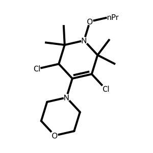 CCCON1C(C)(C)C(Cl)=C(N2CCOCC2)C(Cl)C1(C)C